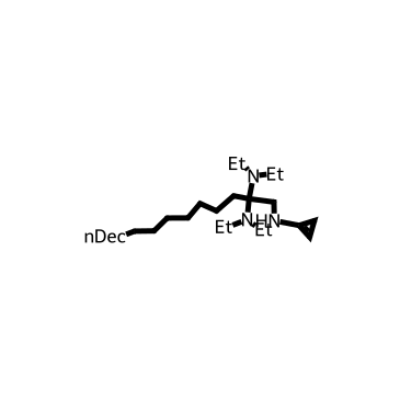 CCCCCCCCCCCCCCCCCC(CNC1=CC1)(N(CC)CC)N(CC)CC